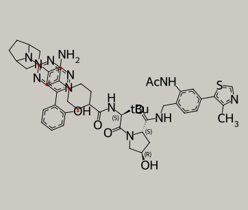 CC(=O)Nc1cc(-c2scnc2C)ccc1CNC(=O)[C@@H]1C[C@@H](O)CN1C(=O)[C@@H](NC(=O)C1CCC(c2cnc(N3C4CCC3CN(c3cc(-c5ccccc5O)nnc3N)C4)nc2)CC1)C(C)(C)C